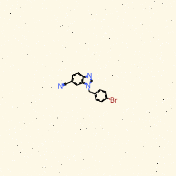 N#Cc1ccc2ncn(Cc3ccc(Br)cc3)c2c1